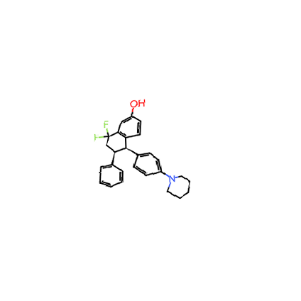 Oc1ccc2c(c1)C(F)(F)C[C@H](c1ccccc1)[C@@H]2c1ccc(N2CCCCC2)cc1